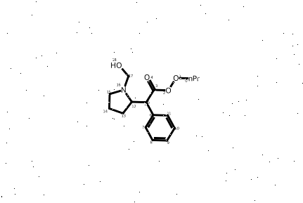 CCCOOC(=O)C(c1ccccc1)C1CCCN1CO